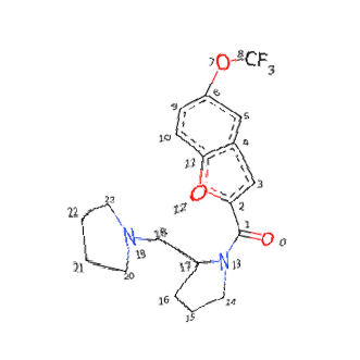 O=C(c1cc2cc(OC(F)(F)F)ccc2o1)N1CCCC1CN1CCCC1